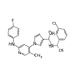 Cc1cnc(Nc2ccc(F)cc2)cc1-n1ccc(C(O)NC(C#N)c2cccc(Cl)c2)c1